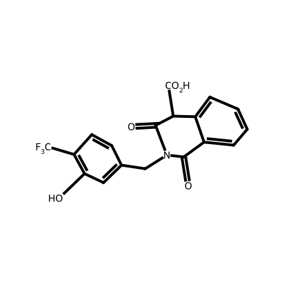 O=C(O)C1C(=O)N(Cc2ccc(C(F)(F)F)c(O)c2)C(=O)c2ccccc21